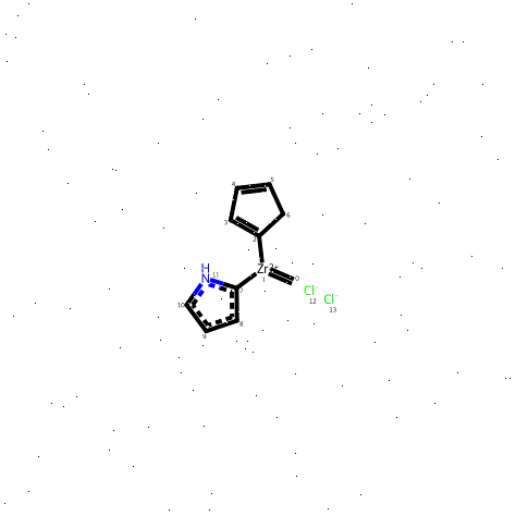 [CH2]=[Zr+2]([C]1=CC=CC1)[c]1ccc[nH]1.[Cl-].[Cl-]